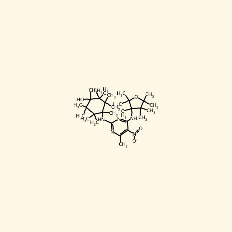 Cc1nc(NC2(C)C(C)(C)C(C)(C)C(C)(O)C(C)(C)C2(C)C)nc(NC2(C)C(C)(C)OC(C)(C)C2(C)C)c1[N+](=O)[O-]